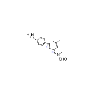 CC(C)=CC(/C=N/c1ccc(CN)cc1)=C\N(C)C=O